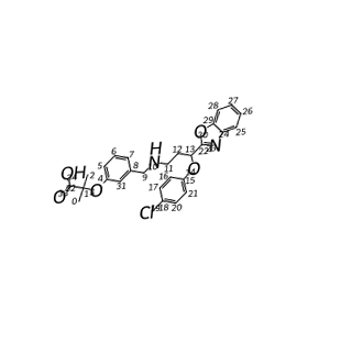 CC(C)(Oc1cccc(CNCCC(Oc2ccc(Cl)cc2)c2nc3ccccc3o2)c1)C(=O)O